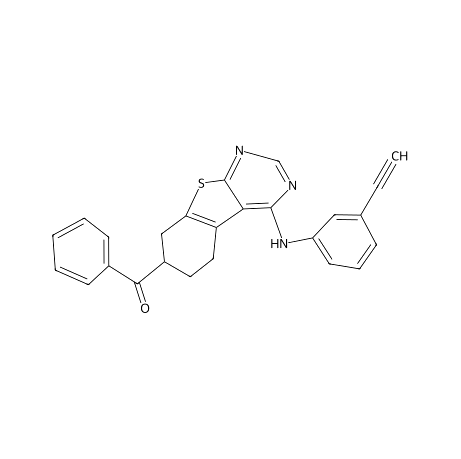 C#Cc1cccc(Nc2ncnc3sc4c(c23)CCC(C(=O)c2ccccc2)C4)c1